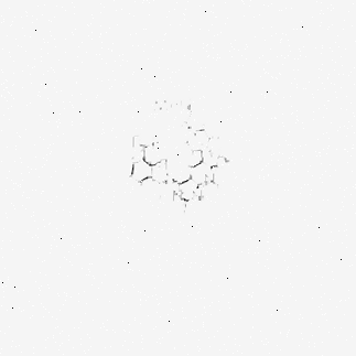 COCCN1CCP(=O)(c2cc3c(N[C@H](C)c4cccc(C(F)F)c4F)nc(C)nc3n(C)c2=O)CC1